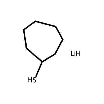 SC1CCCCCC1.[LiH]